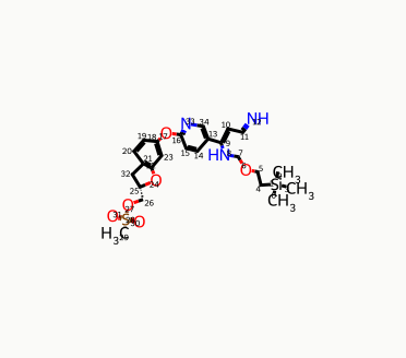 C[Si](C)(C)CCOCN/C(=C\C=N)c1ccc(Oc2ccc3c(c2)O[C@H](COS(C)(=O)=O)C3)nc1